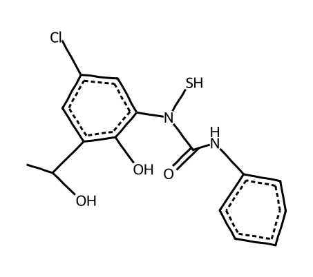 CC(O)c1cc(Cl)cc(N(S)C(=O)Nc2ccccc2)c1O